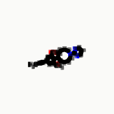 CC#Cc1cc(C)c(C2C(=O)CCCN(c3ncccn3)CCCC2O)c(C)c1